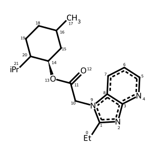 CCc1nc2ncccc2n1CC(=O)O[C@@H]1CC(C)CCC1C(C)C